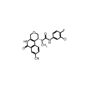 CN(C(=O)Nc1ccc(F)c(Cl)c1)[C@H]1COCc2[nH]c(=O)c3cc(C#N)ccc3c21